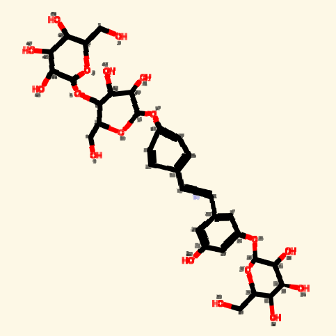 OCC1OC(OC2C(CO)OC(Oc3ccc(/C=C/c4cc(O)cc(OC5OC(CO)C(O)[C@H](O)C5O)c4)cc3)C(O)C2O)C(O)C(O)C1O